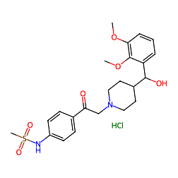 COc1cccc(C(O)C2CCN(CC(=O)c3ccc(NS(C)(=O)=O)cc3)CC2)c1OC.Cl